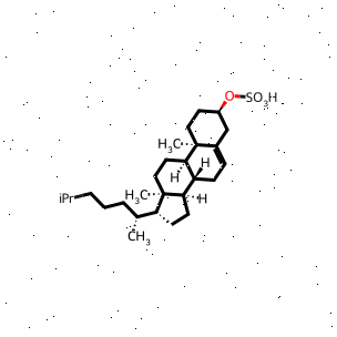 CC(C)CCC[C@@H](C)[C@H]1CC[C@@H]2[C@H]3CC=C4C[C@H](OS(=O)(=O)O)CC[C@]4(C)[C@@H]3CC[C@@]21C